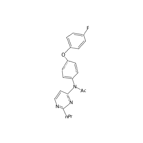 CCCc1nccc(N(C(C)=O)c2ccc(Oc3ccc(F)cc3)cc2)n1